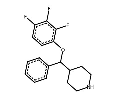 Fc1ccc(OC(c2ccccc2)C2CCNCC2)c(F)c1F